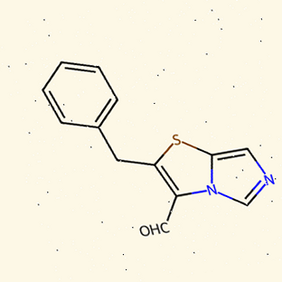 O=Cc1c(Cc2ccccc2)sc2cncn12